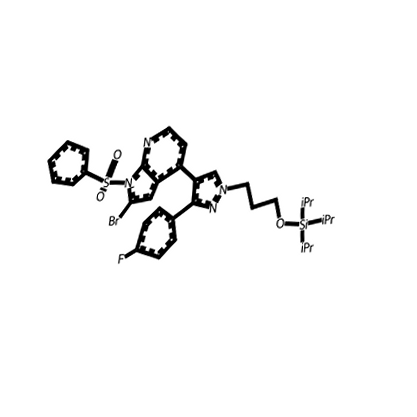 CC(C)[Si](OCCCn1cc(-c2ccnc3c2cc(Br)n3S(=O)(=O)c2ccccc2)c(-c2ccc(F)cc2)n1)(C(C)C)C(C)C